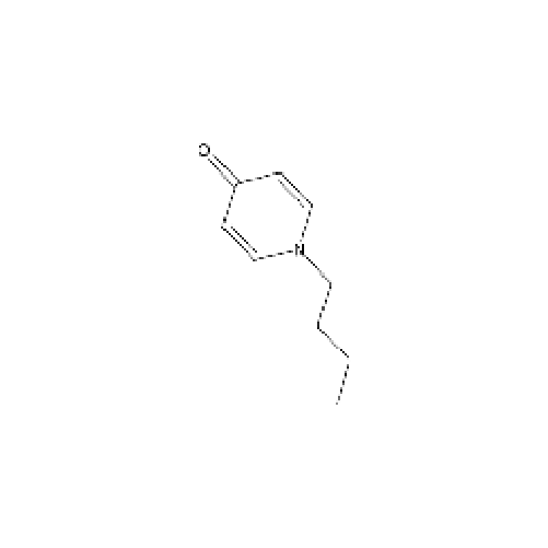 CCCCn1ccc(=O)cc1